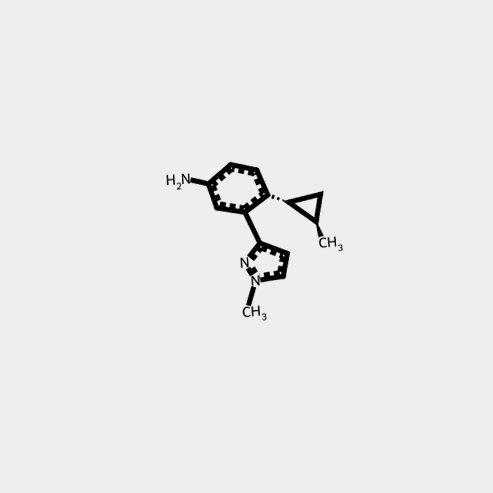 C[C@@H]1C[C@H]1c1ccc(N)cc1-c1ccn(C)n1